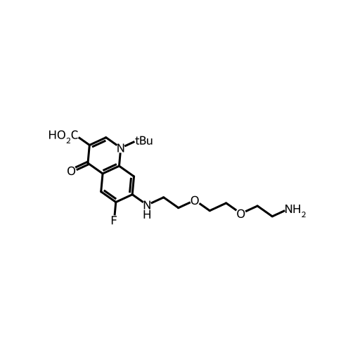 CC(C)(C)n1cc(C(=O)O)c(=O)c2cc(F)c(NCCOCCOCCN)cc21